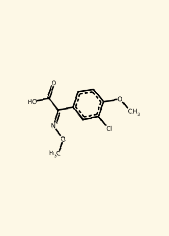 CO/N=C(/C(=O)O)c1ccc(OC)c(Cl)c1